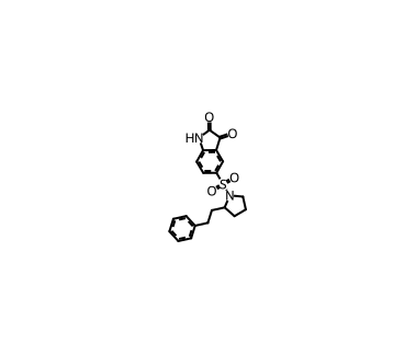 O=C1Nc2ccc(S(=O)(=O)N3CCCC3CCc3ccccc3)cc2C1=O